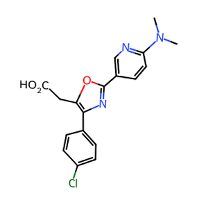 CN(C)c1ccc(-c2nc(-c3ccc(Cl)cc3)c(CC(=O)O)o2)cn1